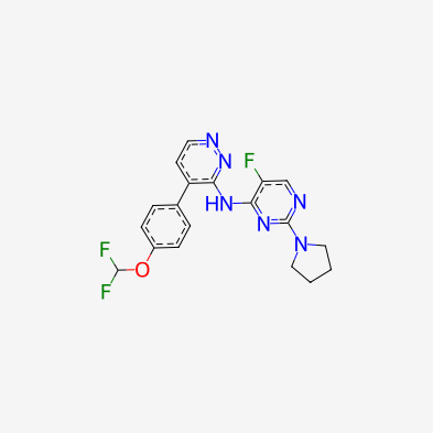 Fc1cnc(N2CCCC2)nc1Nc1nnccc1-c1ccc(OC(F)F)cc1